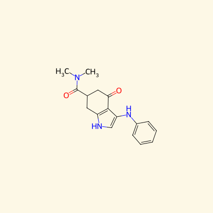 CN(C)C(=O)C1CC(=O)c2c(Nc3ccccc3)c[nH]c2C1